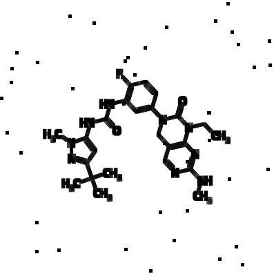 CCN1C(=O)N(c2ccc(F)c(NC(=O)Nc3cc(C(C)(C)C)nn3C)c2)Cc2cnc(NC)nc21